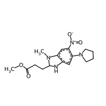 COC(=O)CCC1Nc2cc(N3CCCC3)c([N+](=O)[O-])cc2N1C